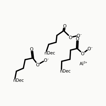 CCCCCCCCCCCCCC(=O)O[O-].CCCCCCCCCCCCCC(=O)O[O-].CCCCCCCCCCCCCC(=O)O[O-].[Al+3]